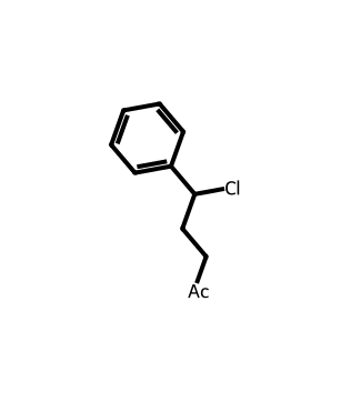 CC(=O)CCC(Cl)c1ccccc1